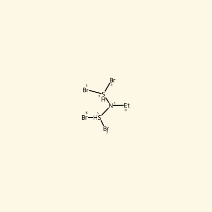 CCN([SH](Br)Br)[SH](Br)Br